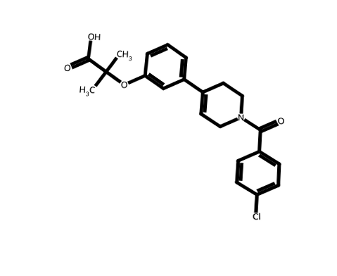 CC(C)(Oc1cccc(C2=CCN(C(=O)c3ccc(Cl)cc3)CC2)c1)C(=O)O